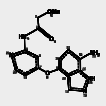 COCC(=O)Nc1cc(Oc2ccc(N)c3[nH]ncc23)ccn1